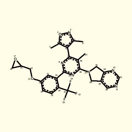 Cc1noc(C)c1-c1nc(-c2cc(OCC3CO3)ccc2C(F)(F)F)nc(N2Cc3cncnc3C2)c1C